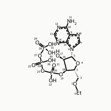 CCOC[C@H]1O[C@@H](n2cnc3c(N)ncnc32)[C@H](O)[C@@H]1OP(=O)(O)OP(=O)(O)OP(=O)(O)O